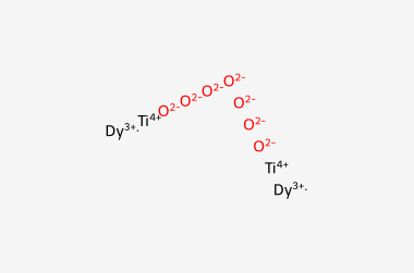 [Dy+3].[Dy+3].[O-2].[O-2].[O-2].[O-2].[O-2].[O-2].[O-2].[Ti+4].[Ti+4]